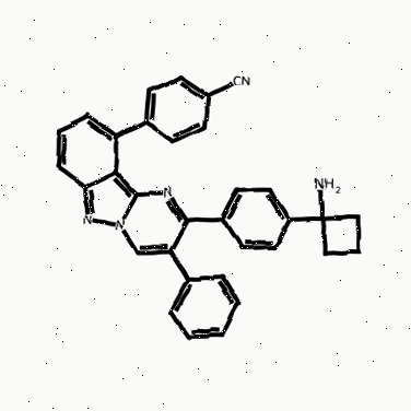 N#Cc1ccc(-c2cccc3nn4cc(-c5ccccc5)c(-c5ccc(C6(N)CCC6)cc5)nc4c23)cc1